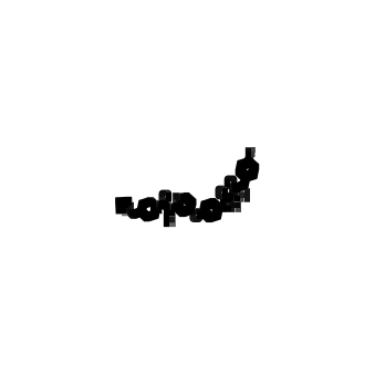 O=C(Cc1ccc(F)cc1)NC(=O)Nc1ccc(Oc2ccnc(NC(=O)N3CCC(CN4CCC4)CC3)c2)cc1